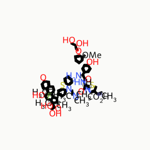 C/C=C/C1=C(C(=O)O)N2C(=O)[C@@H](NC(=O)[C@H](N)c3ccc(O)cc3)[C@H]2SC1.CC(CN1c2ccccc2Sc2ccccc21)N(C)C.COc1ccccc1OCC(O)CO.C[C@@H]1C[C@H]2[C@@H]3CCC4=CC(=O)C=C[C@]4(C)[C@@]3(F)[C@@H](O)C[C@]2(C)[C@@]1(O)C(=O)CO